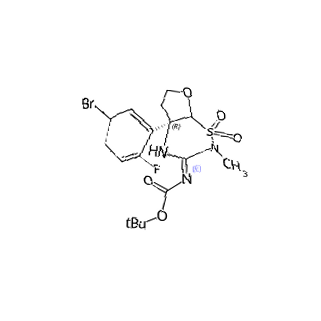 CN1/C(=N/C(=O)OC(C)(C)C)N[C@@]2(C3=CC(Br)CC=C3F)CCOC2S1(=O)=O